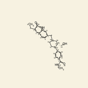 CCc1cc2ncc(CN3CCN(c4ccc(C(=O)NC)nc4)[C@@H](CO)C3)cc2[nH]c1=O